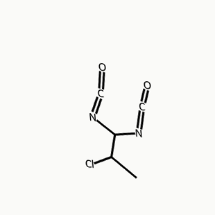 CC(Cl)C(N=C=O)N=C=O